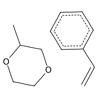 C=Cc1ccccc1.CC1COCCO1